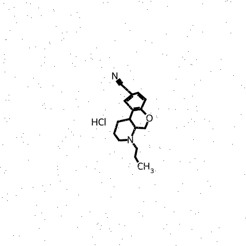 CCCN1CCCC2c3cc(C#N)ccc3OCC21.Cl